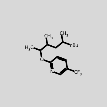 CCCCC(C)CC(C)C(C)Oc1ccc(C(F)(F)F)cn1